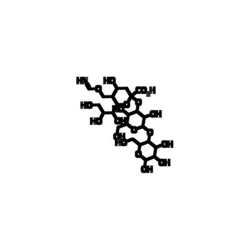 N=COCC1C(O)CC(OC2C(O)C(CO)OC(OC3C(CO)OC(O)C(O)C3O)C2O)(C(=O)O)OC1C(O)C(O)CO